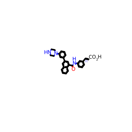 O=C(O)/C=C/c1cccc(NC(=O)c2cc(-c3cccc(N4CCNCC4)c3)cc3ccccc23)c1